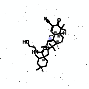 CC(=O)/C=C1/[C@@]2(C)C=C(C#N)C(=O)C(C)(C)[C@@H]2CC[C@@]1(C)C(C)(C)CC[C@@]1(C(=O)NCCO)CCC(C)(C)CC1C